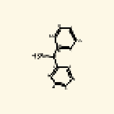 S[C](c1ccccc1)c1ccccc1